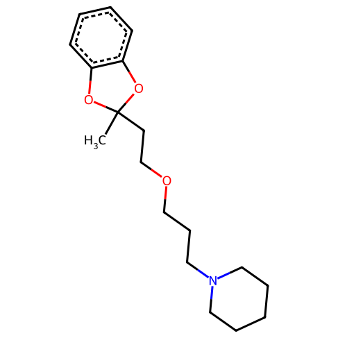 CC1(CCOCCCN2CCCCC2)Oc2ccccc2O1